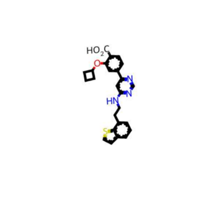 O=C(O)c1ccc(-c2cc(NCCc3cccc4ccsc34)ncn2)cc1OC1CCC1